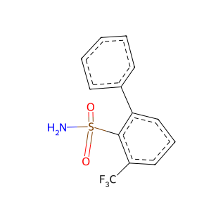 NS(=O)(=O)c1c(-c2ccccc2)cccc1C(F)(F)F